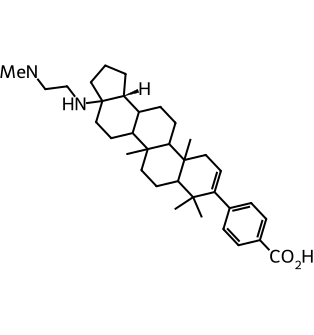 CNCCNC12CCC[C@@H]1C1CCC3C(C)(CCC4C(C)(C)C(c5ccc(C(=O)O)cc5)=CCC43C)C1CC2